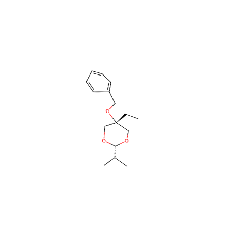 CC[C@]1(OCc2ccccc2)CO[C@@H](C(C)C)OC1